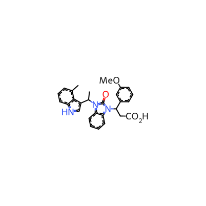 COc1cccc(C(CC(=O)O)n2c(=O)n(C(C)c3c[nH]c4cccc(C)c34)c3ccccc32)c1